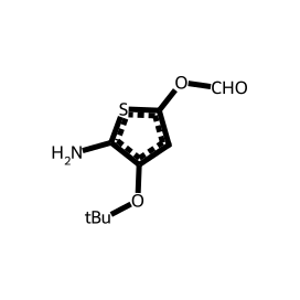 CC(C)(C)Oc1cc(OC=O)sc1N